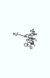 CCCCCCN1CCC(N2CCNC(C(F)(F)F)C2)C(NC(=O)C(C(N)N)C2CC34CCCCC3(CC(Cl)CN2)C4)C1